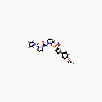 COc1ccc(-c2ccc(S(=O)(=O)N[C@H]3CCCN(CC(=O)N4CCC[C@H]4CN4CCCC4)C3=O)s2)cc1